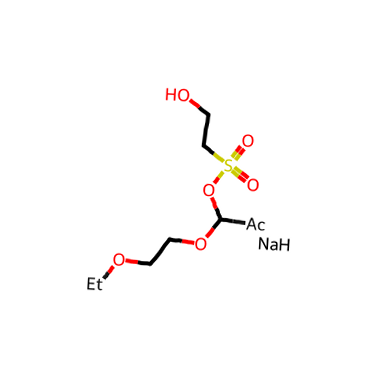 CCOCCOC(OS(=O)(=O)CCO)C(C)=O.[NaH]